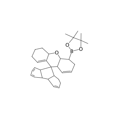 CC1(C)OB(C2CC=CC3C2OC2CCCC=C2C32C3C=CC=CC3C3C=CCCC32)OC1(C)C